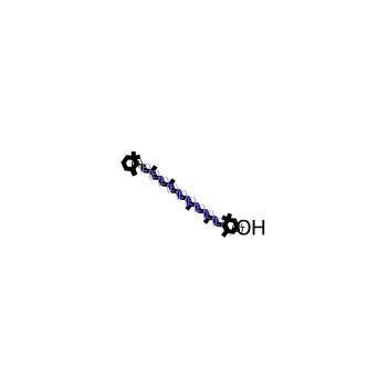 C=C1CCCC(C)(C)[C@H]1/C=C/C(C)=C/C=C/C(C)=C/C=C/C=C(C)/C=C/C=C(C)/C=C/C1=C(C)C[C@@H](O)CC1(C)C